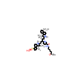 CCN1/C(=C/C=C(/C=C/C2=[N+](CC)c3ccc4c(SOOO)cccc4c3C2(C)C)c2ccc(C(=O)NCCCCCC(=O)C(C)(C)C)cn2)C(C)(C)c2c1ccc1c(S(=O)(=O)O)cccc21